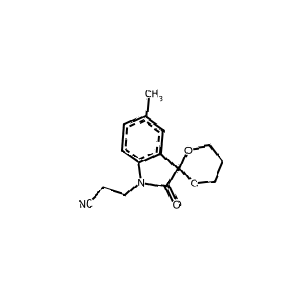 Cc1ccc2c(c1)C1(OCCCO1)C(=O)N2CCC#N